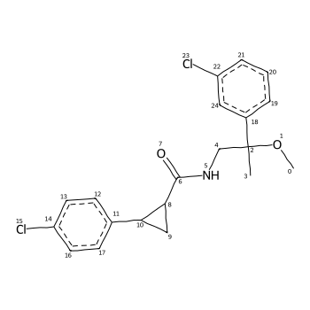 COC(C)(CNC(=O)C1CC1c1ccc(Cl)cc1)c1cccc(Cl)c1